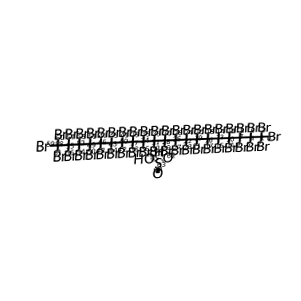 BrC(Br)(Br)C(Br)(Br)C(Br)(Br)C(Br)(Br)C(Br)(Br)C(Br)(Br)C(Br)(Br)C(Br)(Br)C(Br)(Br)C(Br)(Br)C(Br)(Br)C(Br)(Br)C(Br)(Br)C(Br)(Br)C(Br)(Br)C(Br)(Br)C(Br)(Br)C(Br)(Br)C(Br)(Br)C(Br)(Br)Br.O=[SH](=O)O